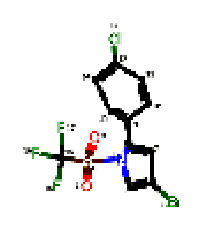 O=S(=O)(n1cc(Br)cc1-c1ccc(Cl)cc1)C(F)(F)F